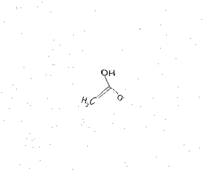 C=C([O])O